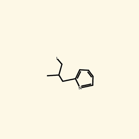 CC(CI)Cc1ccccn1